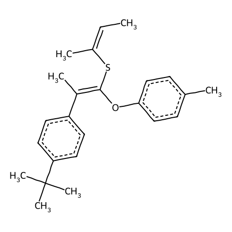 C/C=C(/C)S/C(Oc1ccc(C)cc1)=C(\C)c1ccc(C(C)(C)C)cc1